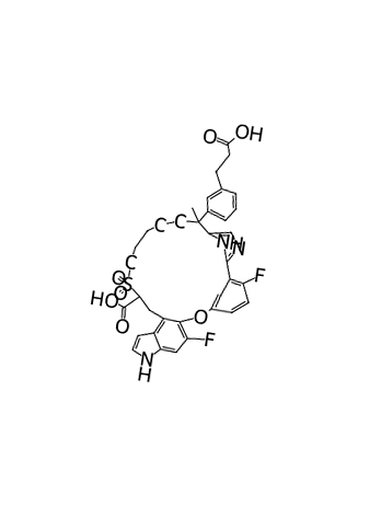 CC1(c2cccc(CCC(=O)O)c2)CCCCCS(=O)(=O)C(C(=O)O)Cc2c(c(F)cc3[nH]ccc23)Oc2ccc(F)c(c2)-c2ncc1[nH]2